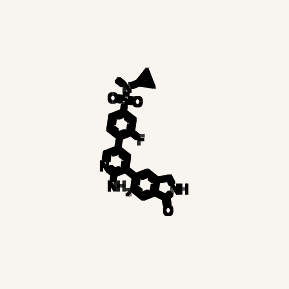 CN(C1CC1)S(=O)(=O)c1ccc(-c2cnc(N)c(-c3ccc4c(c3)CNC4=O)c2)c(F)c1